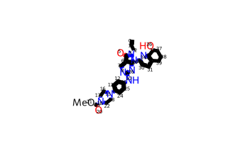 C=CCn1c(=O)c2cnc(Nc3ccc(N4CCN(C(=O)OC)CC4)cc3)nc2n1-c1ccc2c(n1)C(O)CCC2